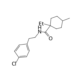 CCC1(C(=O)NCCc2ccc(Cl)cc2)CCC(C)CC1